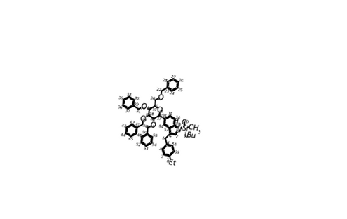 CCc1ccc(Cc2cn([Si](C)(C)C(C)(C)C)c3ccc([C@@H]4O[C@H](COCc5ccccc5)[C@@H](OCc5ccccc5)[C@H](OCc5ccccc5)[C@H]4OCc4ccccc4)cc23)cc1